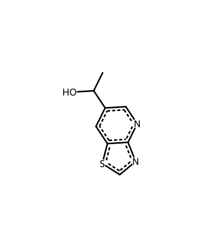 CC(O)c1cnc2ncsc2c1